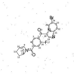 O=C(c1ccc(C(=O)N2C=C3CCC2C3)cc1F)c1cnc2ccc(Br)cn12